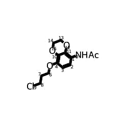 CC(=O)Nc1ccc(OCCCCl)c2c1OCCO2